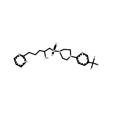 O=S(=O)(CC(O)CCCc1ncccn1)N1CCN(c2ccc(C(F)(F)F)cn2)CC1